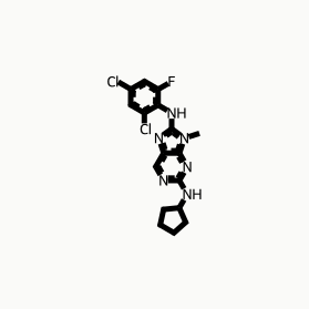 Cn1c(Nc2c(F)cc(Cl)cc2Cl)nc2cnc(NC3CCCC3)nc21